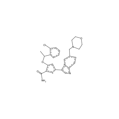 CC(Oc1cc(-c2cnc3ccc(CN4CCOCC4)cn23)sc1C(N)=O)c1ccccc1Cl